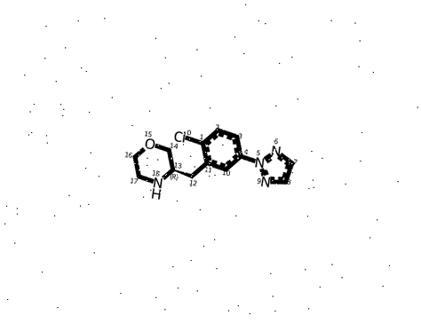 Clc1ccc(-n2nccn2)cc1C[C@@H]1COCCN1